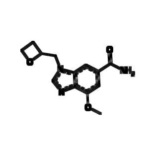 COc1cc(C(N)=O)cc2c1ncn2CC1CCO1